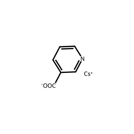 O=C([O-])c1cccnc1.[Cs+]